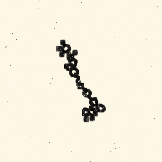 O=C1CC[C@H](N2Cc3c(ccc4c3OCC43CCN(CCN4CC(N5CCC(c6ccc7c(c6)-n6c(nc(=O)c8c(Cl)cccc86)C76CCCCC6)CC5)C4)CC3)C2=O)C(=O)N1